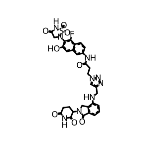 O=C1CCC(N2Cc3c(NCc4cn(CCC(=O)Nc5ccc6c(F)c(N7CC(=O)NS7(=O)=O)c(O)cc6c5)nn4)cccc3C2=O)C(=O)N1